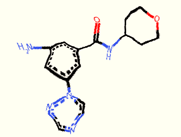 Nc1cc(C(=O)NC2CCOCC2)cc(-n2cncn2)c1